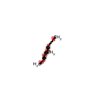 C=CC(=O)OCCCCCCOc1ccc(C(=O)Oc2ccc(OC(=O)c3ccc(OCOC(=O)C=C)cc3)cc2C)cc1